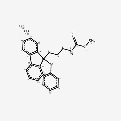 COC(=O)NCCCC1(Cc2ccncc2)c2ccccc2-c2ccccc21.Cl.O